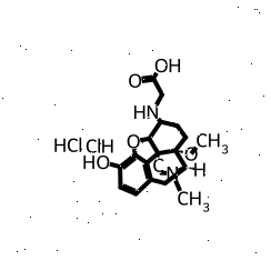 CO[C@@]12CCC(NCC(=O)O)C3Oc4c(O)ccc5c4[C@@]31CCN(C)[C@@H]2C5.Cl.Cl